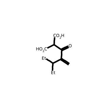 C=C(C(=O)C(C(=O)O)C(=O)O)C(CC)CC